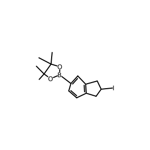 CC1(C)OB(c2ccc3c(c2)CC(I)C3)OC1(C)C